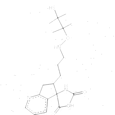 CC(C)(S)C(C)(C)ONCCCC1Cc2ncccc2C12NC(=O)NC2=O